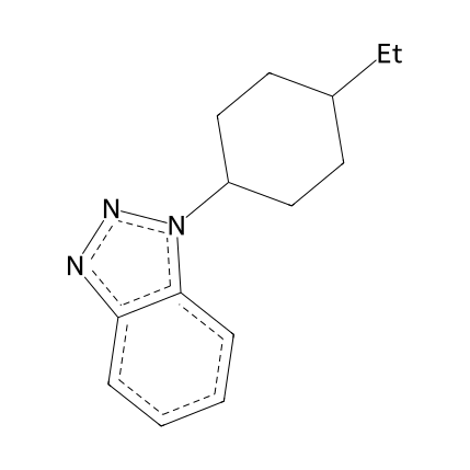 CCC1CCC(n2nnc3ccccc32)CC1